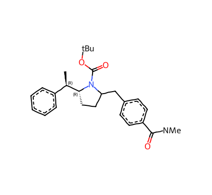 CNC(=O)c1ccc(CC2CC[C@H]([C@H](C)c3ccccc3)N2C(=O)OC(C)(C)C)cc1